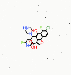 O=C(O)c1coc2c1c(C(c1ccnc(F)c1)N1CCNCC1)c(O)c1c(F)c(Cl)ccc12